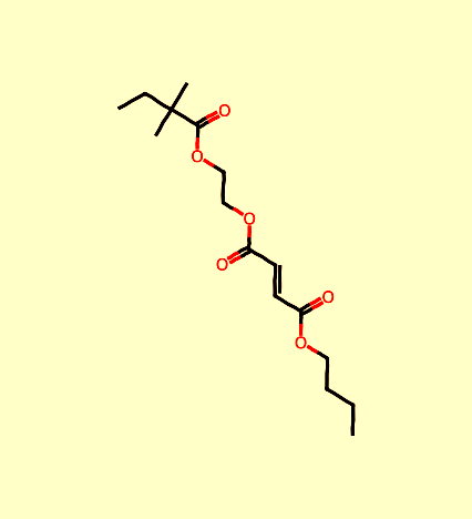 CCCCOC(=O)/C=C/C(=O)OCCOC(=O)C(C)(C)CC